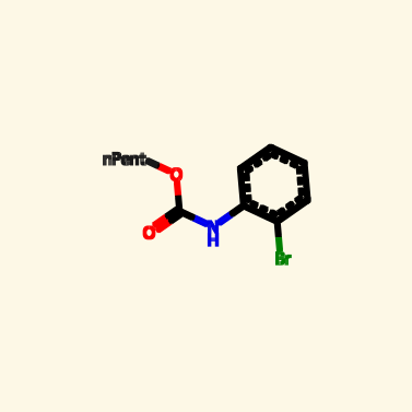 CCCCCOC(=O)Nc1ccccc1Br